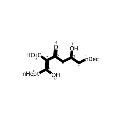 CCCCCCCCCCCC(O)CC(=O)C(C(=O)O)=C(O)CCCCCCC